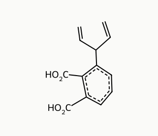 C=CC(C=C)c1cccc(C(=O)O)c1C(=O)O